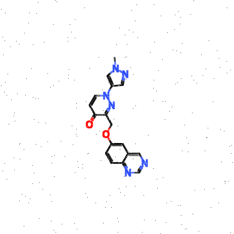 Cn1cc(-n2ccc(=O)c(COc3ccc4ncncc4c3)n2)cn1